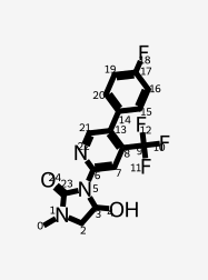 CN1CC(O)N(c2cc(C(F)(F)F)c(-c3ccc(F)cc3)cn2)C1=O